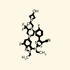 CCN(c1nc(-c2ccc(F)cc2)c(C#N)s1)c1c2cc(N3CCN(CC(=O)N4CC(O)C4)C(C(F)(F)F)C3)cc(F)c2nn1CC